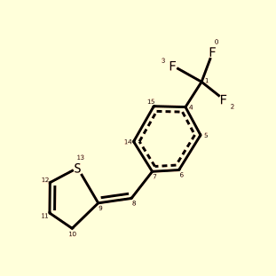 FC(F)(F)c1ccc(C=C2CC=CS2)cc1